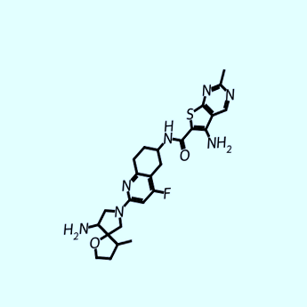 Cc1ncc2c(N)c(C(=O)NC3CCc4nc(N5CC(N)C6(C5)OCCC6C)cc(F)c4C3)sc2n1